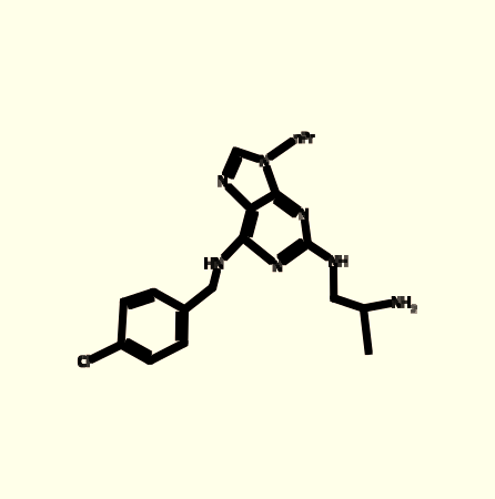 CCCn1cnc2c(NCc3ccc(Cl)cc3)nc(NCC(C)N)nc21